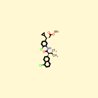 C[C@H]([C@H](C(=O)Nc1cc([C@@H](CC(=O)OC(C)(C)C)C2CC2)ccc1Cl)c1ccc2c(Cl)cccc2c1)C(F)(F)F